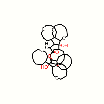 C=C(C(=O)OC(C1CCCCCCCCC1)C(O)(C1CCCCCCCCC1)C1CCCCCCCCC1)C(C1CCCCCCCCC1)C(O)(C1CCCCCCCCC1)C1CCCCCCCCC1